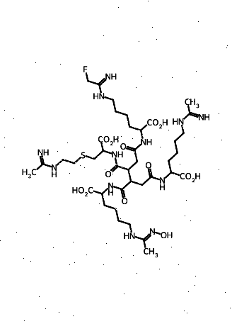 CC(=N)NCCCCC(NC(=O)CC(C(=O)NC(CCCCNC(C)=NO)C(=O)O)C(CC(=O)NC(CCCCNC(=N)CF)C(=O)O)C(=O)NC(CSCCNC(C)=N)C(=O)O)C(=O)O